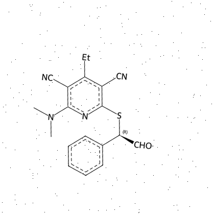 CCc1c(C#N)c(S[C@@H]([C]=O)c2ccccc2)nc(N(C)C)c1C#N